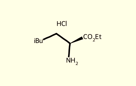 CCOC(=O)[C@@H](N)CC(C)CC.Cl